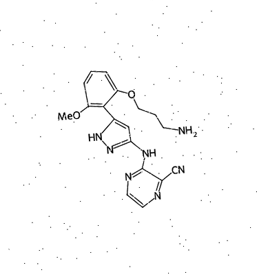 COc1cccc(OCCCN)c1-c1cc(Nc2nccnc2C#N)n[nH]1